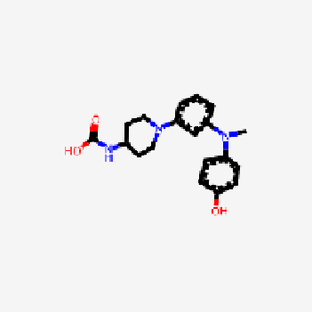 CN(c1ccc(O)cc1)c1cccc(N2CCC(NC(=O)O)CC2)c1